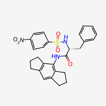 O=C(Nc1c2c(cc3c1CCC3)CCC2)[C@@H](Cc1ccccc1)NS(=O)(=O)c1ccc([N+](=O)[O-])cc1